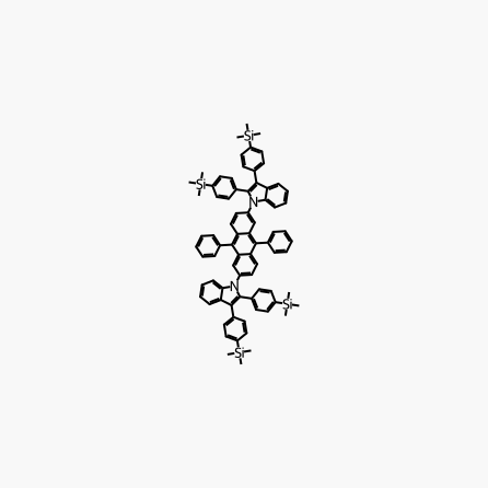 C[Si](C)(C)c1ccc(-c2c(-c3ccc([Si](C)(C)C)cc3)n(-c3ccc4c(-c5ccccc5)c5cc(-n6c(-c7ccc([Si](C)(C)C)cc7)c(-c7ccc([Si](C)(C)C)cc7)c7ccccc76)ccc5c(-c5ccccc5)c4c3)c3ccccc23)cc1